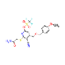 COc1ccc(COCc2cc(OS(=O)(=O)C(F)(F)F)nc(SCC(N)=O)c2C#N)cc1